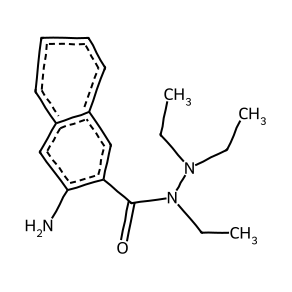 CCN(CC)N(CC)C(=O)c1cc2ccccc2cc1N